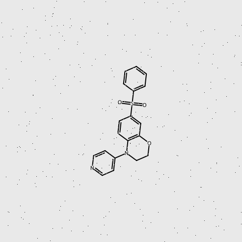 O=S(=O)(c1ccccc1)c1ccc2c(c1)OCCN2c1ccncc1